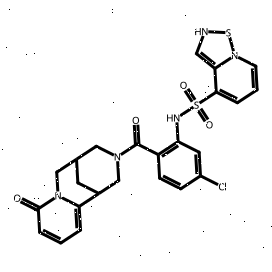 O=C(c1ccc(Cl)cc1NS(=O)(=O)C1=CC=CN2SNC=C12)N1CC2CC(C1)c1cccc(=O)n1C2